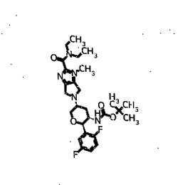 CCN(CC)C(=O)c1nc2c(n1C)CN([C@H]1CO[C@H](c3cc(F)ccc3F)[C@@H](NC(=O)OC(C)(C)C)C1)C2